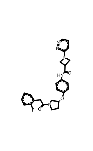 O=C(Nc1ccc(O[C@@H]2CCN(C(=O)Cc3ccccc3F)C2)cc1)C1CN(c2cccnn2)C1